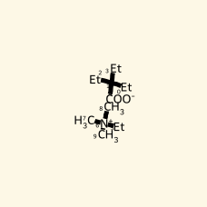 CCC(CC)(CC)C(=O)[O-].CC[N+](C)(C)C